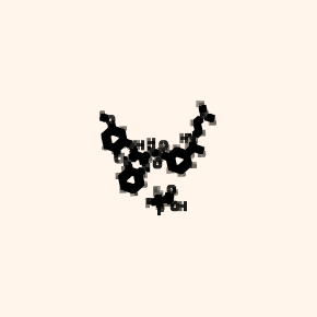 COc1ccc(Cl)c(Nc2nc3ccccc3nc2NS(=O)(=O)c2cccc(C(C)NCCN(C)C)c2)c1.O=C(O)C(F)(F)F